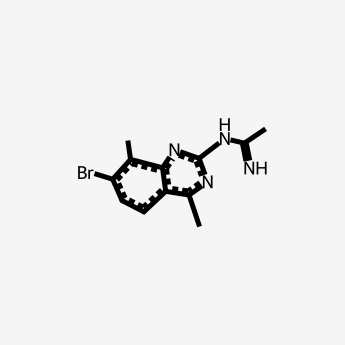 CC(=N)Nc1nc(C)c2ccc(Br)c(C)c2n1